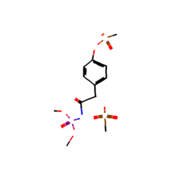 COP(=O)(NC(=O)[C@@H](OS(C)(=O)=O)c1ccc(OS(C)(=O)=O)cc1)OC